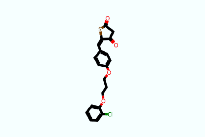 O=C1CC(=O)/C(=C\c2ccc(OCCCOc3ccccc3Cl)cc2)S1